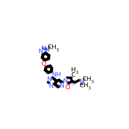 CC1CN(c2cc3c(Nc4ccc(Oc5ccc6c(c5)nnn6C)cc4)ncnc3cn2)C(=O)/C1=C/CN(C)C